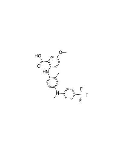 COc1ccc(Nc2ccc(N(C)c3ccc(C(F)(F)F)cc3)cc2C)c(C(=O)O)c1